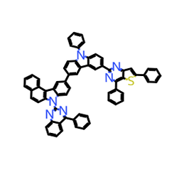 c1ccc(-c2cc3nc(-c4ccc5c(c4)c4cc(-c6ccc7c(c6)c6c8ccccc8ccc6n7-c6nc(-c7ccccc7)c7ccccc7n6)ccc4n5-c4ccccc4)nc(-c4ccccc4)c3s2)cc1